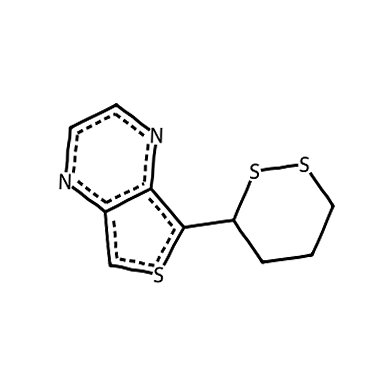 c1cnc2c(C3CCCSS3)scc2n1